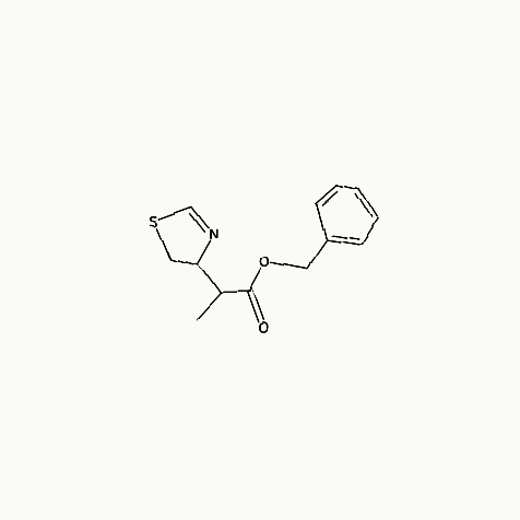 CC(C(=O)OCc1ccccc1)C1CSC=N1